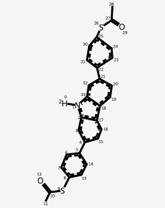 [2H]n1c2cc(-c3ccc(SC(C)=O)cc3)ccc2c2ccc(-c3ccc(SC(C)=O)cc3)cc21